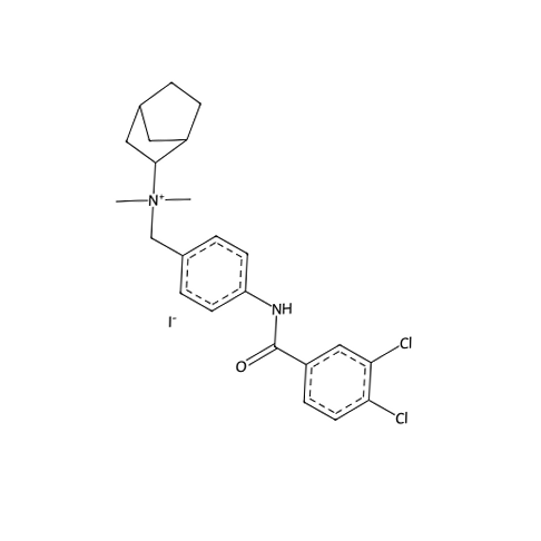 C[N+](C)(Cc1ccc(NC(=O)c2ccc(Cl)c(Cl)c2)cc1)C1CC2CCC1C2.[I-]